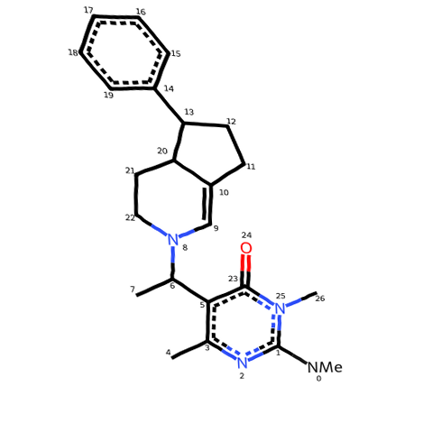 CNc1nc(C)c(C(C)N2C=C3CCC(c4ccccc4)C3CC2)c(=O)n1C